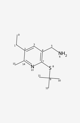 CCc1cc(CN)c(SC(C)(C)C)nc1C